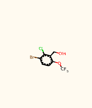 OCc1c(OC(F)(F)F)ccc(Br)c1Cl